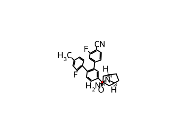 Cc1ccc(-c2ccc(C(=O)N3[C@@H]4CC[C@H]3C[C@@H](N)C4)cc2-c2ccc(C#N)c(F)c2)c(F)c1